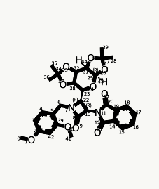 COc1ccc(CN2C(=O)[C@H](N3C(=O)c4ccccc4C3=O)[C@@H]2C2O[C@@H]3OC(C)(C)O[C@@H]3C3OC(C)(C)OC32)c(OC)c1